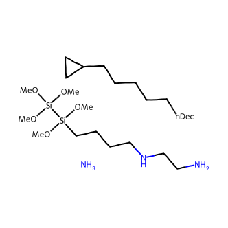 CCCCCCCCCCCCCCCC1CC1.CO[Si](CCCCNCCN)(OC)[Si](OC)(OC)OC.N